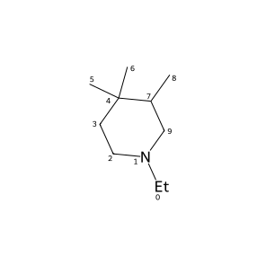 CCN1CCC(C)(C)C(C)C1